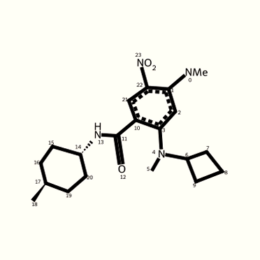 CNc1cc(N(C)C2CCC2)c(C(=O)N[C@H]2CC[C@H](C)CC2)cc1[N+](=O)[O-]